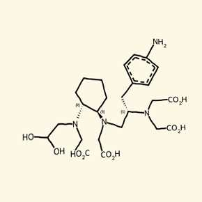 Nc1ccc(C[C@@H](CN(CC(=O)O)[C@@H]2CCCC[C@H]2N(CC(=O)O)CC(O)O)N(CC(=O)O)CC(=O)O)cc1